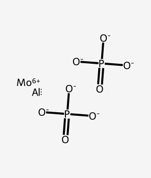 O=P([O-])([O-])[O-].O=P([O-])([O-])[O-].[Al].[Mo+6]